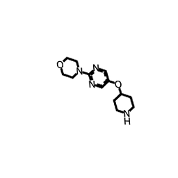 c1nc(N2CCOCC2)ncc1OC1CCNCC1